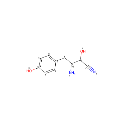 N#CC(O)[C@H](N)Cc1ccc(O)cc1